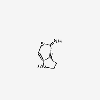 N=c1scc2n1CCN2